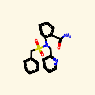 NC(=O)c1ccccc1N(Cc1ccccn1)S(=O)(=O)Cc1ccccc1